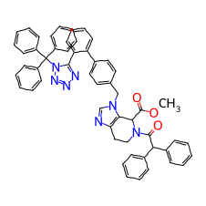 COC(=O)C1c2c(ncn2Cc2ccc(-c3ccccc3-c3nnnn3C(c3ccccc3)(c3ccccc3)c3ccccc3)cc2)CCN1C(=O)C(c1ccccc1)c1ccccc1